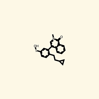 Cn1cc(-c2cc(SO)ccc2CCC2CC2)c2ccccc2c1=O